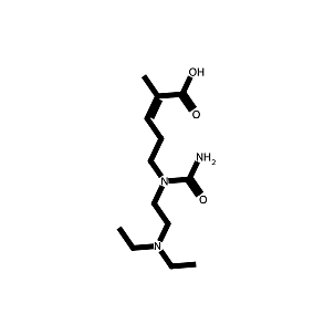 CCN(CC)CCN(CCC=C(C)C(=O)O)C(N)=O